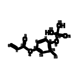 C=CC(=O)Oc1ccc(OP(=O)(O)O)c(C)c1